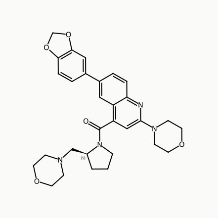 O=C(c1cc(N2CCOCC2)nc2ccc(-c3ccc4c(c3)OCO4)cc12)N1CCC[C@H]1CN1CCOCC1